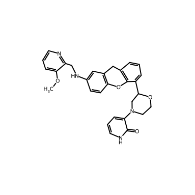 COc1cccnc1CNc1ccc2c(c1)Cc1cccc(C3CN(c4ccc[nH]c4=O)CCO3)c1O2